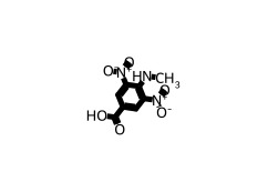 CNc1c([N+](=O)[O-])cc(C(=O)O)cc1[N+](=O)[O-]